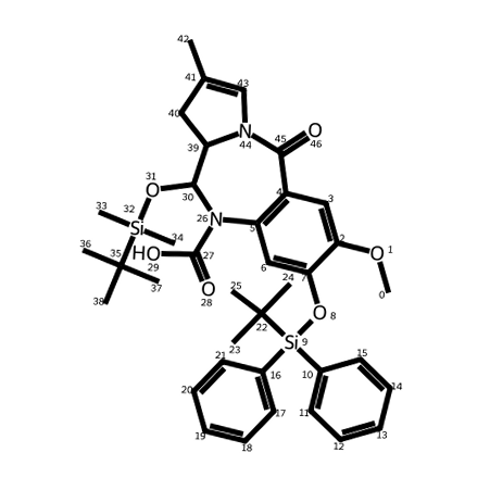 COc1cc2c(cc1O[Si](c1ccccc1)(c1ccccc1)C(C)(C)C)N(C(=O)O)C(O[Si](C)(C)C(C)(C)C)C1CC(C)=CN1C2=O